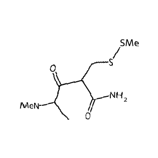 CNC(C)C(=O)C(CSSC)C(N)=O